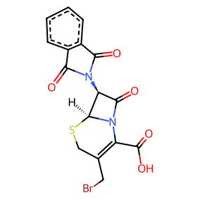 O=C(O)C1=C(CBr)CS[C@H]2[C@@H](N3C(=O)c4ccccc4C3=O)C(=O)N12